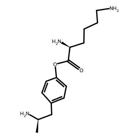 C[C@@H](N)Cc1ccc(OC(=O)[C@@H](N)CCCCN)cc1